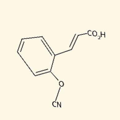 N#COc1ccccc1C=CC(=O)O